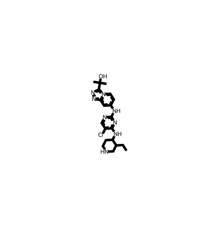 CCC1CNCCC1Nc1nc(Nc2ccn3c(C(C)(C)O)nnc3c2)ncc1Cl